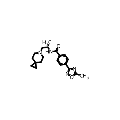 Cc1nc(-c2ccc(C(=O)N[C@H](C)CN3CCC4(CC3)CC4)cc2)no1